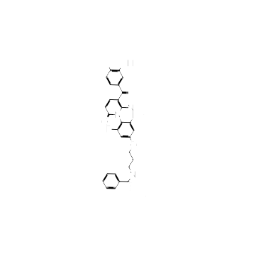 Cc1cc(C(=O)c2ccc(=O)n(-c3c(F)cc(OCCCN[C@H](C(=O)O)c4ccccc4)cc3F)c2N)ccc1F